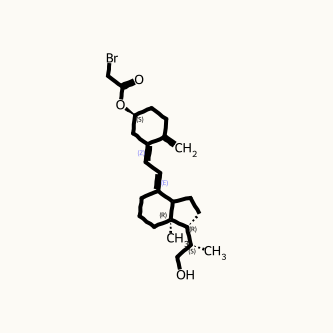 C=C1CC[C@H](OC(=O)CBr)C/C1=C/C=C1\CCC[C@@]2(C)C1CC[C@@H]2[C@H](C)CO